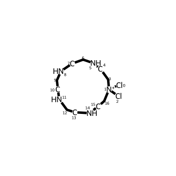 Cl[N+]1(Cl)CCNCCNCCNCCNCC1